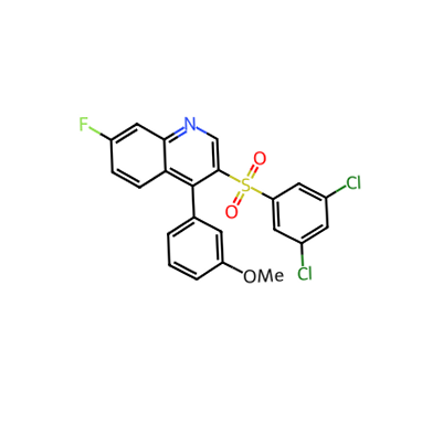 COc1cccc(-c2c(S(=O)(=O)c3cc(Cl)cc(Cl)c3)cnc3cc(F)ccc23)c1